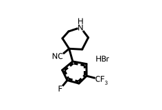 Br.N#CC1(c2cc(F)cc(C(F)(F)F)c2)CCNCC1